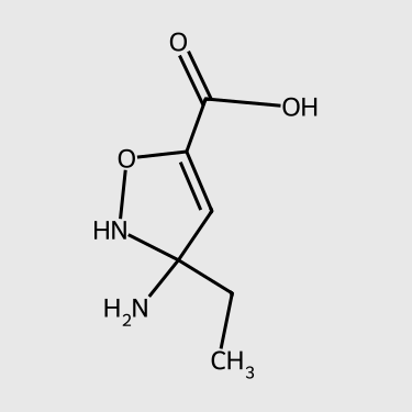 CCC1(N)C=C(C(=O)O)ON1